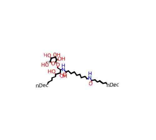 CCCCCCCCCCCCCCCC(=O)NCCCCCCCCC(=O)NC(CO[C@H]1O[C@H](CO)[C@H](O)[C@H](O)[C@H]1O)C(O)C(O)CCCCCCCCCCCCCC